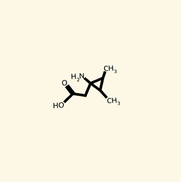 CC1C(C)C1(N)CC(=O)O